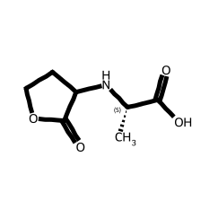 C[C@H](NC1CCOC1=O)C(=O)O